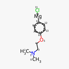 CN(C)CCOc1cc[c]([Mg][Cl])cc1